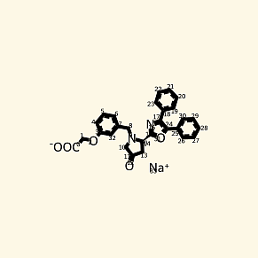 O=C([O-])COc1cccc(CN2CC(=O)C[C@@H]2c2nc(-c3ccccc3)c(-c3ccccc3)o2)c1.[Na+]